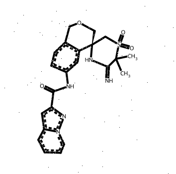 CC1(C)C(=N)N[C@@]2(COCc3ccc(NC(=O)c4cc5ccccn5n4)cc32)CS1(=O)=O